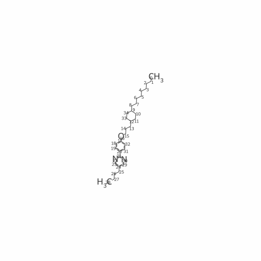 CCCCCCCCCC1CCC(CCCOc2ccc(-c3ncc(CCCC)cn3)cc2)CC1